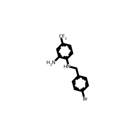 Nc1cc(C(F)(F)F)ccc1NCc1ccc(Br)cc1